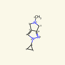 CN1Cc2cn(C3CC3)nc2C1